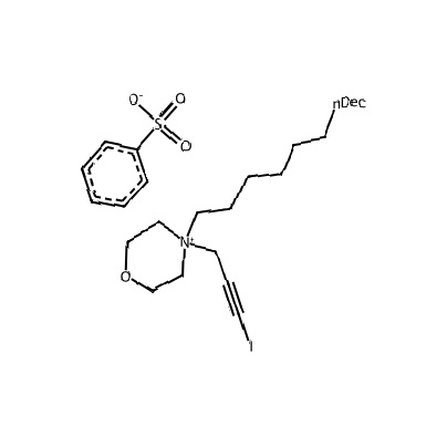 CCCCCCCCCCCCCCCC[N+]1(CC#CI)CCOCC1.O=S(=O)([O-])c1ccccc1